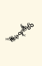 CC(=O)c1cn(CC(=O)N2C[C@H](F)C[C@H]2C(=O)Nc2cccc(-c3ccccc3Cl)c2F)c2ccc(-c3cnc(O[C@@H]4CO[C@H]5[C@@H]4OC[C@H]5O)nc3)cc12